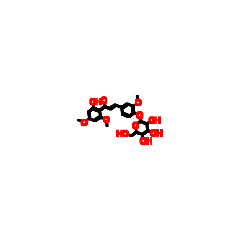 COc1cc(O)c(C(=O)/C=C/c2ccc(OC3OC(CO)C(O)C(O)C3O)c(OC)c2)c(OC)c1